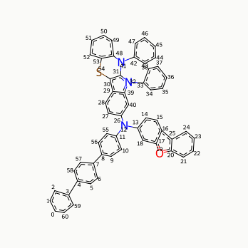 c1ccc(-c2ccc(-c3ccc(N(c4ccc5c(c4)oc4ccccc45)c4ccc5c6c(n(-c7ccccc7)c5c4)N(c4ccccc4)c4ccccc4S6)cc3)cc2)cc1